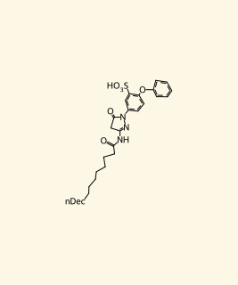 CCCCCCCCCCCCCCCCCC(=O)NC1=NN(c2ccc(Oc3ccccc3)c(S(=O)(=O)O)c2)C(=O)C1